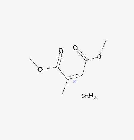 COC(=O)/C=C(/C)C(=O)OC.[SnH4]